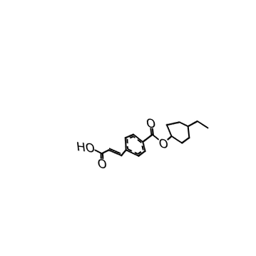 CCC1CCC(OC(=O)c2ccc(/C=C/C(=O)O)cc2)CC1